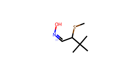 CSC(/C=N\O)C(C)(C)C